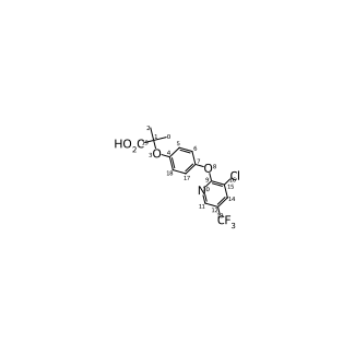 CC(C)(Oc1ccc(Oc2ncc(C(F)(F)F)cc2Cl)cc1)C(=O)O